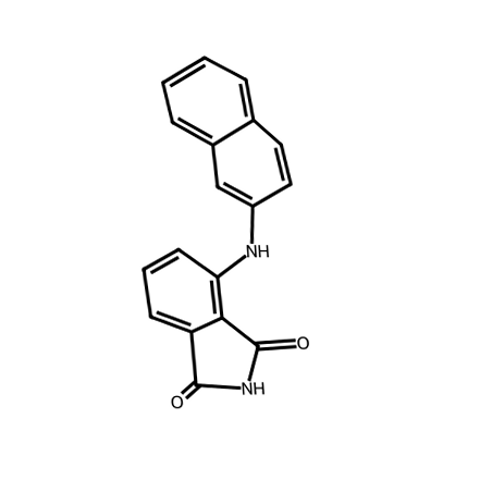 O=C1NC(=O)c2c(Nc3ccc4ccccc4c3)cccc21